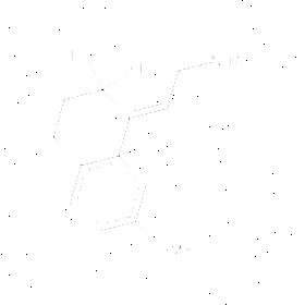 COc1ccc2c(c1)C(=CCNC(C)=O)C(C)(C)CC2